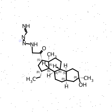 CC[C@@H]1C[C@H](C(=O)CN/N=N\C=N)[C@@]2(C)CC[C@H]3[C@@H](CC[C@@H]4C[C@](C)(O)CC[C@@H]43)[C@H]12